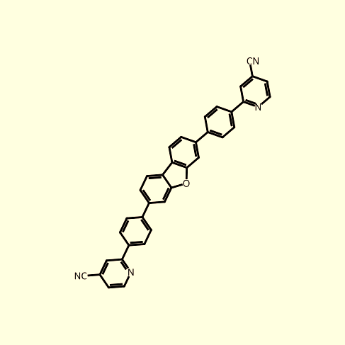 N#Cc1ccnc(-c2ccc(-c3ccc4c(c3)oc3cc(-c5ccc(-c6cc(C#N)ccn6)cc5)ccc34)cc2)c1